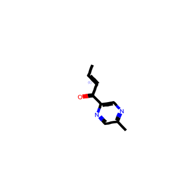 C/C=C/C(=O)c1cnc(C)cn1